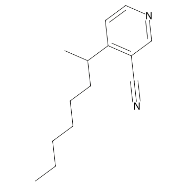 CCCCCCC(C)c1ccncc1C#N